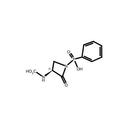 O=C(O)N[C@H]1CN(P(=O)(O)c2ccccc2)C1=O